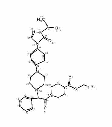 CCOC(=O)C1CCN(C(=O)C(c2ccccc2)N2CCN(c3ccc(-n4cnn(C(C)C)c4=O)cc3)CC2)CC1